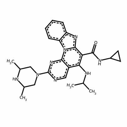 CC(C)Nc1c(C(=O)NC2CC2)c2nc3ccccc3n2c2nc(N3CC(C)NC(C)C3)ncc12